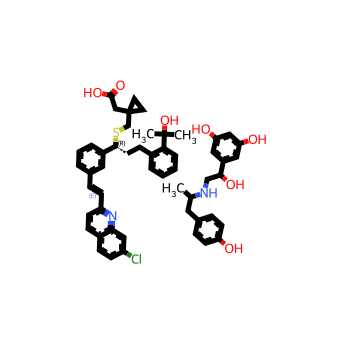 CC(C)(O)c1ccccc1CC[C@@H](SCC1(CC(=O)O)CC1)c1cccc(/C=C/c2ccc3ccc(Cl)cc3n2)c1.CC(Cc1ccc(O)cc1)NCC(O)c1cc(O)cc(O)c1